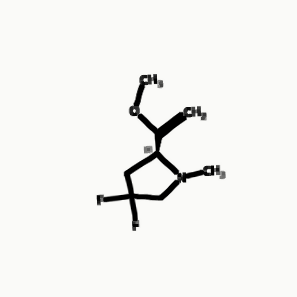 C=C(OC)[C@@H]1CC(F)(F)CN1C